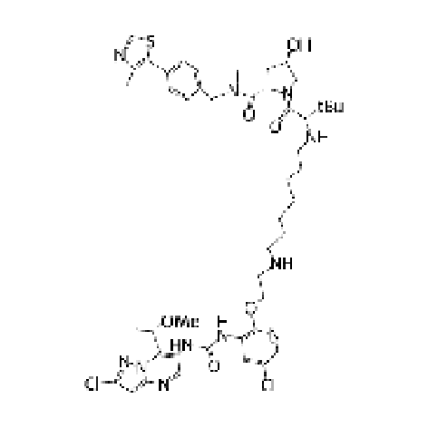 CO[C@@H](C)c1c(NC(=O)Nc2cc(Cl)cnc2OCCNCCCCCCCN[C@H](C(=O)N2C[C@H](O)C[C@H]2C(=O)NCc2ccc(-c3scnc3C)cc2)C(C)(C)C)cnc2cc(Cl)nn12